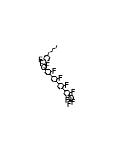 CCCCCc1ccc(C(F)(F)Oc2ccc(-c3ccc(-c4ccc(-c5ccc(OC(F)(F)F)c(F)c5)c(F)c4)c(F)c3)c(F)c2)c(F)c1